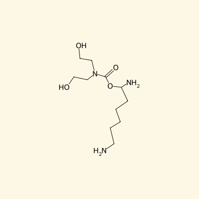 NCCCCCC(N)OC(=O)N(CCO)CCO